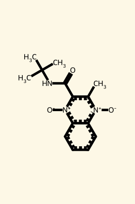 Cc1c(C(=O)NC(C)(C)C)[n+]([O-])c2ccccc2[n+]1[O-]